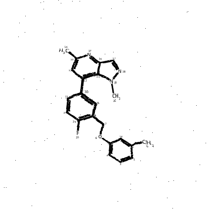 Cc1cccc(OCc2cc(-c3cc(C)nc4cnn(C)c34)ccc2F)c1